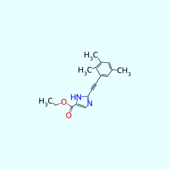 CCOC(=O)c1cnc(C#Cc2cc(C)cc(C)c2C)[nH]1